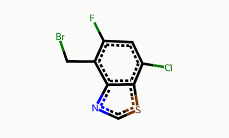 Fc1cc(Cl)c2scnc2c1CBr